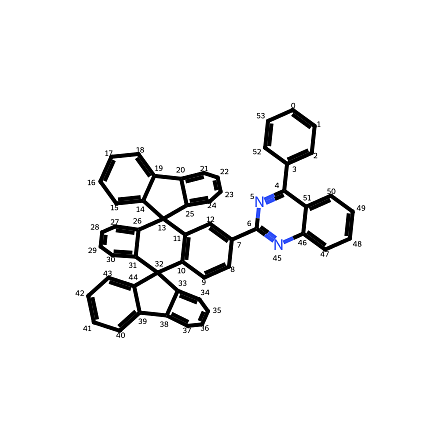 c1ccc(-c2nc(-c3ccc4c(c3)C3(c5ccccc5-c5ccccc53)c3ccccc3C43c4ccccc4-c4ccccc43)nc3ccccc23)cc1